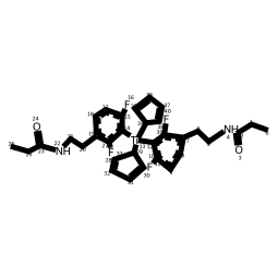 CCC(=O)NCCc1ccc(F)[c]([Ti]([c]2c(F)ccc(CCNC(=O)CC)c2F)([CH]2C=CC=C2)[CH]2C=CC=C2)c1F